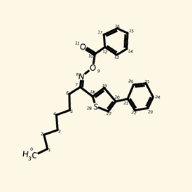 CCCCCCCC(=NOC(=O)c1ccccc1)c1cc(-c2ccccc2)cs1